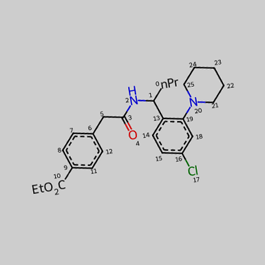 CCCC(NC(=O)Cc1ccc(C(=O)OCC)cc1)c1ccc(Cl)cc1N1CCCCC1